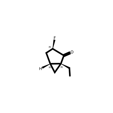 CC[C@@]12C[C@@H]1C[C@@H](F)C2=O